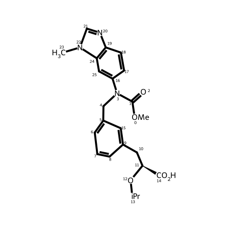 COC(=O)N(Cc1cccc(C[C@H](OC(C)C)C(=O)O)c1)c1ccc2ncn(C)c2c1